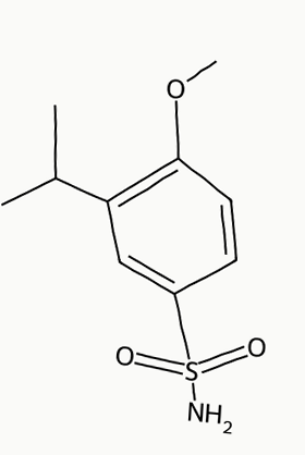 COc1ccc(S(N)(=O)=O)cc1C(C)C